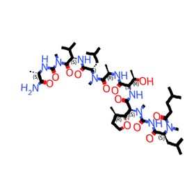 CC(C)CCC(=O)N(C)[C@@H](CC(C)C)C(=O)NC(=O)N(C)[C@H](C(=O)N[C@H](C(=O)N[C@H](C)C(=O)N(C)[C@@H](CC(C)C)C(=O)N[C@H](C(=O)N(C)C(=O)N[C@@H](C)C(N)=O)C(C)C)[C@@H](C)O)[C@@H]1OCC[C@H]1C